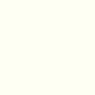 C=CCOC(=O)CN(C)Cc1ccc(OCCCCC(C)=O)cc1